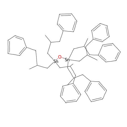 CC(Cc1ccccc1)[CH2][Sn]([CH2]C(C)Cc1ccccc1)([CH2]C(C)Cc1ccccc1)[O][Sn]([CH2]C(C)Cc1ccccc1)([CH2]C(C)Cc1ccccc1)[CH2]C(C)Cc1ccccc1